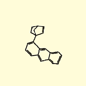 C1=CC2(c3cccc4cc5ccccc5cc34)CCC1C2